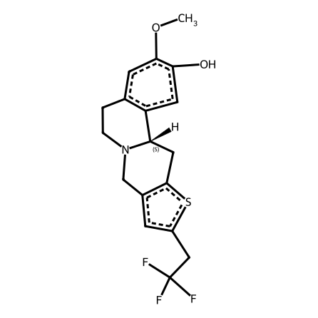 COc1cc2c(cc1O)[C@@H]1Cc3sc(CC(F)(F)F)cc3CN1CC2